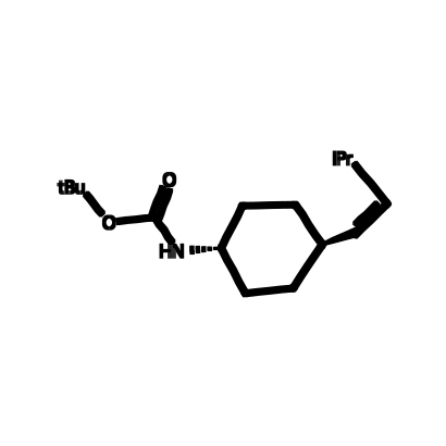 CC(C)/C=C\[C@H]1CC[C@H](NC(=O)OC(C)(C)C)CC1